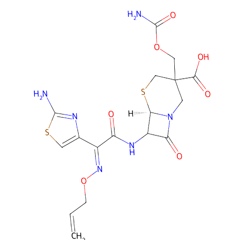 C=CCON=C(C(=O)NC1C(=O)N2CC(COC(N)=O)(C(=O)O)CS[C@H]12)c1csc(N)n1